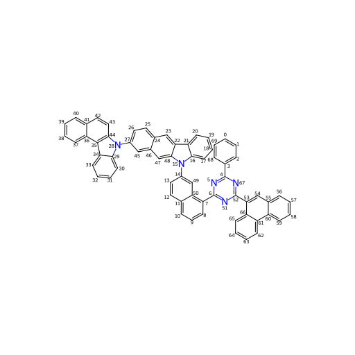 c1ccc(-c2nc(-c3cccc4ccc(-n5c6ccccc6c6cc7ccc(-n8c9ccccc9c9c%10ccccc%10ccc98)cc7cc65)cc34)nc(-c3cc4ccccc4c4ccccc34)n2)cc1